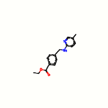 CCOC(=O)c1ccc(CNc2ccc(C)cn2)cc1